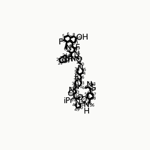 C#Cc1c(F)ccc2cc(O)cc(-c3ncc4c(N5CC6CCC(C5)N6)nc(OCCN5CCC(F)(CN6CCN(c7cc([C@H](C(=O)N8CCC[C@H]8C(=O)N[C@@H](C)c8ccc(-c9scnc9C)cc8)C(C)C)on7)CC6)CC5)nc4c3F)c12